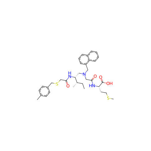 CC[C@H](C)[C@@H](CN(CC(=O)N[C@@H](CCSC)C(=O)O)Cc1cccc2ccccc12)NC(=O)CSCc1ccc(C)cc1